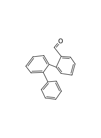 O=Cc1ccccc1-c1ccccc1-c1ccccc1